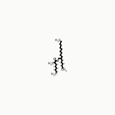 CCCCCCCCCCC(CCCCCC)COC(=O)C(C)CCCCCC